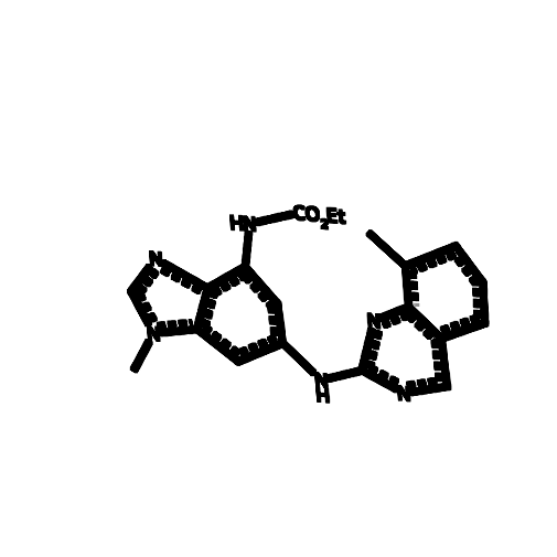 CCOC(=O)Nc1cc(Nc2ncc3cccc(C)c3n2)cc2c1ncn2C